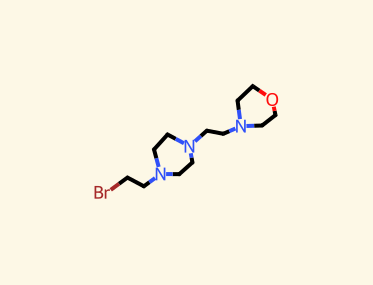 BrCCN1CCN(CCN2CCOCC2)CC1